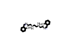 Oc1ccccc1/C=N\CCNCCNCC/N=C\c1ccccc1O